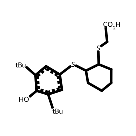 CC(C)(C)c1cc(SC2CCCCC2SCC(=O)O)cc(C(C)(C)C)c1O